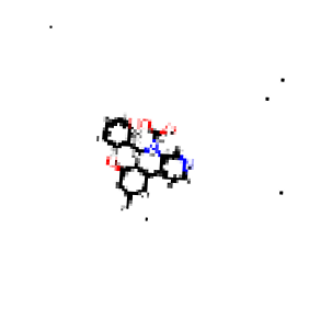 CC1CC(=O)CC(c2ccncc2N(Cc2ccccc2)C(=O)O)C1